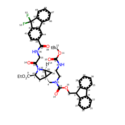 CCOC(=O)[C@@H]1C[C@]2(CN(CCNC(=O)OC(C)(C)C)C(=O)OCC3c4ccccc4-c4ccccc43)C[C@@H]2N1C(=O)CNC(=O)c1ccc2c(c1)-c1ccccc1C2(F)F